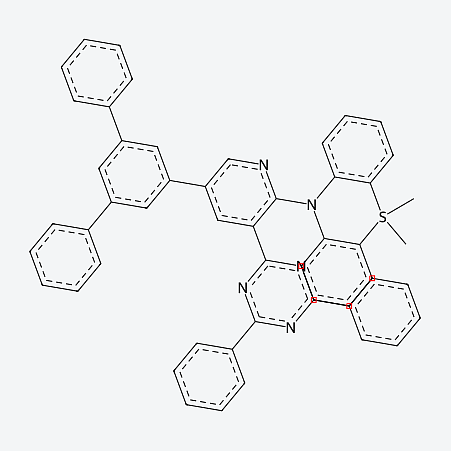 CS1(C)c2ccccc2N(c2ncc(-c3cc(-c4ccccc4)cc(-c4ccccc4)c3)cc2-c2nc(-c3ccccc3)nc(-c3ccccc3)n2)c2ccccc21